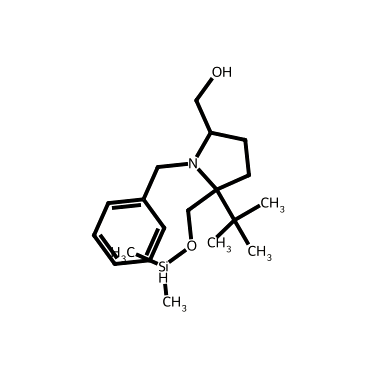 C[SiH](C)OCC1(C(C)(C)C)CCC(CO)N1Cc1ccccc1